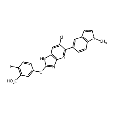 Cn1ccc2cc(-c3nc4nc(Oc5ccc(I)c(C(=O)O)c5)[nH]c4cc3Cl)ccc21